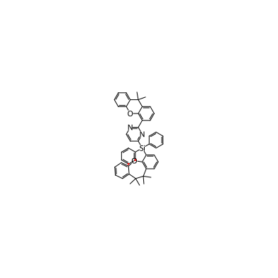 CC1(C)c2ccccc2Oc2c(-c3nccc([Si](c4ccccc4)(c4ccccc4)c4cccc5c4Oc4ccccc4C(C)(C)C5(C)C)n3)cccc21